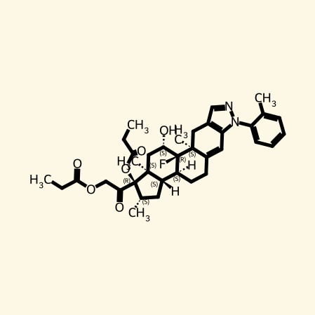 CCC(=O)OCC(=O)[C@@]1(OC(=O)CC)[C@@H](C)C[C@H]2[C@@H]3CCC4=Cc5c(cnn5-c5ccccc5C)C[C@]4(C)[C@@]3(F)[C@@H](O)C[C@@]21C